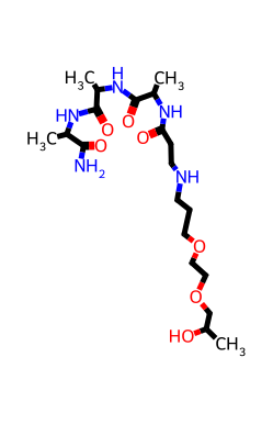 CC(O)COCCOCCCNCCC(=O)NC(C)C(=O)NC(C)C(=O)NC(C)C(N)=O